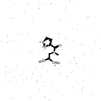 COC(CN(C)C(=O)c1ccn[nH]1)OC